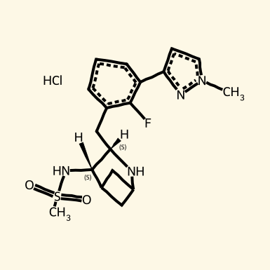 Cl.Cn1ccc(-c2cccc(C[C@@H]3NC4CC(C4)[C@@H]3NS(C)(=O)=O)c2F)n1